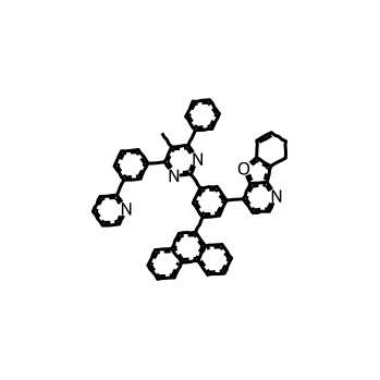 Cc1c(-c2ccccc2)nc(-c2cc(-c3cc4ccccc4c4ccccc34)cc(-c3ccnc4c5c(oc34)C=CCC5)c2)nc1-c1cccc(-c2ccccn2)c1